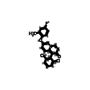 Cc1cc(F)ccc1Oc1ccc2c(-c3c(Cl)cccc3Cl)c(=O)ncn2n1